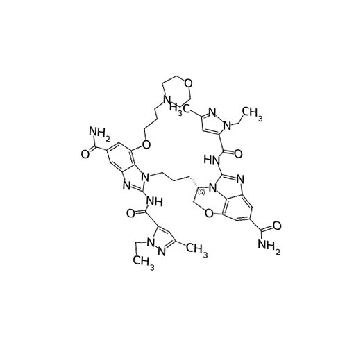 CCn1nc(C)cc1C(=O)Nc1nc2cc(C(N)=O)cc(OCCCN3CCOCC3)c2n1CCC[C@H]1COc2cc(C(N)=O)cc3nc(NC(=O)c4cc(C)nn4CC)n1c23